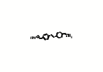 C=CC1CCC(CCc2ccc(COCCC)cc2)CC1